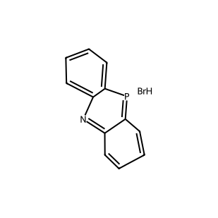 Br.c1ccc2pc3ccccc3nc2c1